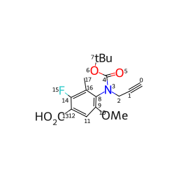 C#CCN(C(=O)OC(C)(C)C)c1c(OC)cc(C(=O)O)c(F)c1C